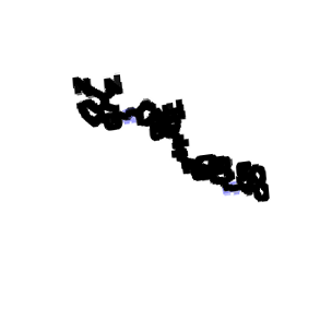 COc1ccc(/C=C\c2cc(OC)c(OC)c(OC)c2)cc1OC(=O)OCCSSCCOC(=O)Nc1ccc(/C=C/C2=CC(=C(C#N)C#N)c3ccccc3O2)cc1